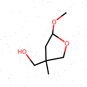 COC1CC(C)(CO)CO1